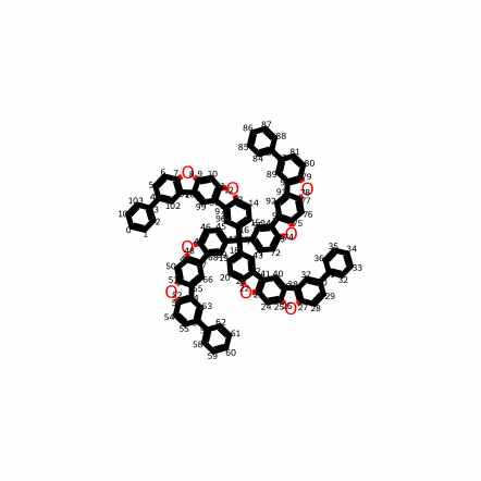 c1ccc(-c2ccc3oc4cc5oc6ccc(C(c7ccc8oc9cc%10oc%11ccc(-c%12ccccc%12)cc%11c%10cc9c8c7)(c7ccc8oc9cc%10oc%11ccc(-c%12ccccc%12)cc%11c%10cc9c8c7)c7ccc8oc9cc%10oc%11ccc(-c%12ccccc%12)cc%11c%10cc9c8c7)cc6c5cc4c3c2)cc1